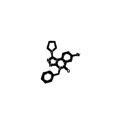 O=c1c2cc(Br)ccc2n2c(N3CCCC3)nnc2n1Cc1ccccc1